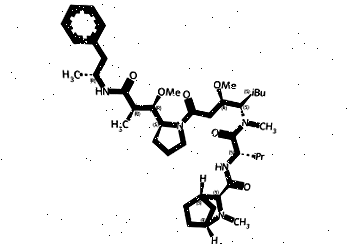 CC[C@H](C)[C@@H]([C@@H](CC(=O)N1CCC[C@H]1[C@H](OC)[C@@H](C)C(=O)N[C@H](C)Cc1ccccc1)OC)N(C)C(=O)[C@@H](NC(=O)[C@@H]1[C@H]2CC[C@H](C2)N1C)C(C)C